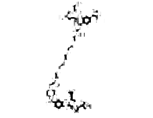 Cc1ncsc1-c1ccc([C@H](CC(=O)NCCOCCOCCOCCOCCNC(=O)CN2CCN(C(=O)c3ccc(Nc4nc(C5CC5)cn5c(-c6cn[nH]c6)cnc45)c(F)c3)CC2)NC(=O)C2C[C@@H](O)CN2C(=O)CC(C)C)cc1